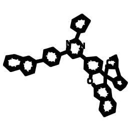 c1ccc(-c2nc(-c3ccc(-c4ccc5ccccc5c4)cc3)cc(-c3ccc4c(c3)Oc3cc5ccccc5cc3C43c4ccccc4-c4ccccc43)n2)cc1